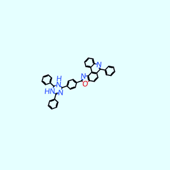 c1ccc(C2=NC(c3ccc(-c4nc5c(ccc6c(-c7ccccc7)nc7ccccc7c65)o4)cc3)NC(c3ccccc3)N2)cc1